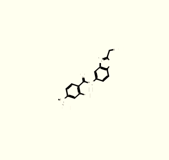 Cc1cc(N(C)C)ccc1C(=O)Nc1ccc2sc(CO)nc2c1